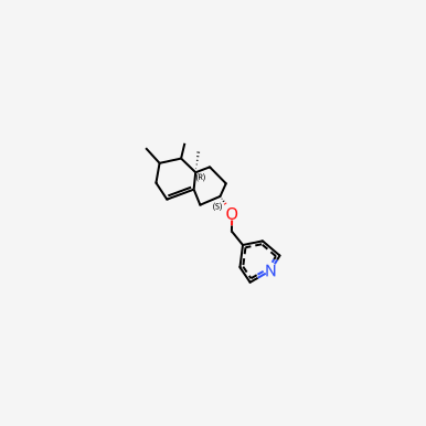 CC1CC=C2C[C@@H](OCc3ccncc3)CC[C@]2(C)C1C